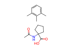 CC(=O)NC1(C(=O)O)CCCC1.Cc1cccc(C)c1C